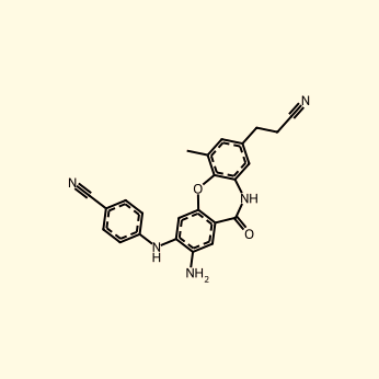 Cc1cc(CCC#N)cc2c1Oc1cc(Nc3ccc(C#N)cc3)c(N)cc1C(=O)N2